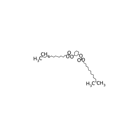 CC(C)CCCCCCCCCCOC(=O)OC1CCCC(OC(=O)OCCCCCCCCCCC(C)C)C1